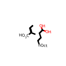 CC=C(C)C(=O)O.CCCCCCCCCCCC(O)O